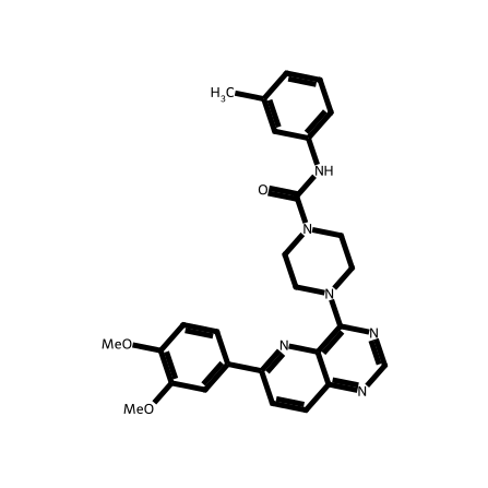 COc1ccc(-c2ccc3ncnc(N4CCN(C(=O)Nc5cccc(C)c5)CC4)c3n2)cc1OC